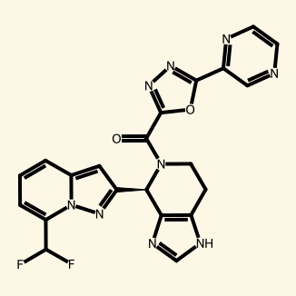 O=C(c1nnc(-c2cnccn2)o1)N1CCc2[nH]cnc2[C@H]1c1cc2cccc(C(F)F)n2n1